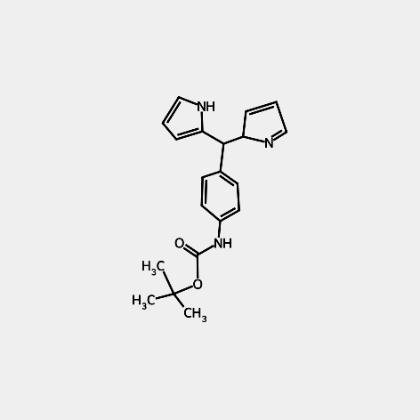 CC(C)(C)OC(=O)Nc1ccc(C(c2ccc[nH]2)C2C=CC=N2)cc1